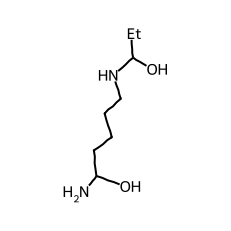 CCC(O)NCCCCC(N)O